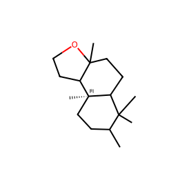 CC1CC[C@@]2(C)C3CCOC3(C)CCC2C1(C)C